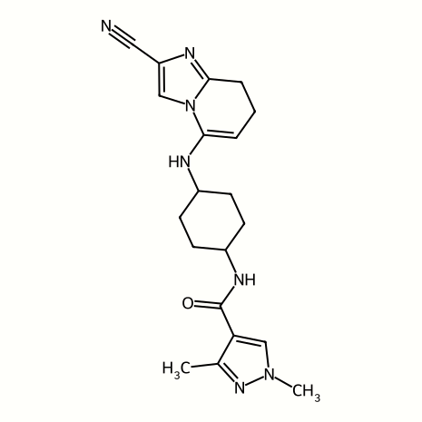 Cc1nn(C)cc1C(=O)NC1CCC(NC2=CCCc3nc(C#N)cn32)CC1